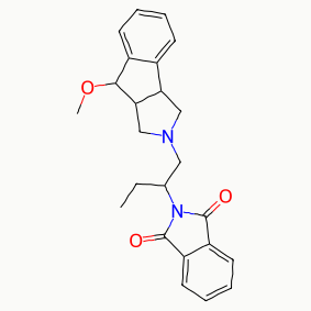 CCC(CN1CC2c3ccccc3C(OC)C2C1)N1C(=O)c2ccccc2C1=O